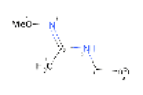 CCCCN/C(C)=N/OC